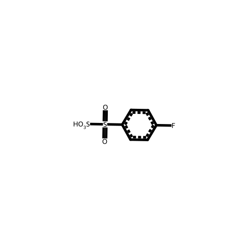 O=S(=O)(O)S(=O)(=O)c1ccc(F)cc1